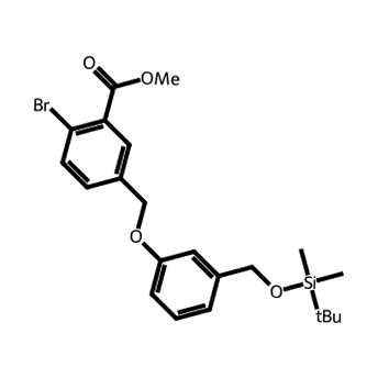 COC(=O)c1cc(COc2cccc(CO[Si](C)(C)C(C)(C)C)c2)ccc1Br